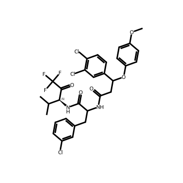 COc1ccc(OC(CC(=O)NC(Cc2cccc(Cl)c2)C(=O)N[C@H](C(=O)C(F)(F)F)C(C)C)c2ccc(Cl)c(Cl)c2)cc1